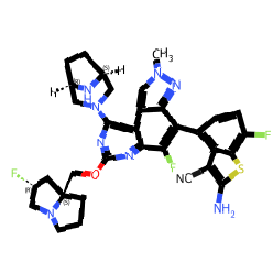 Cn1cc2c(n1)c(-c1ccc(F)c3sc(N)c(C#N)c13)c(F)c1nc(OC[C@@]34CCCN3C[C@H](F)C4)nc(N3C[C@H]4CC[C@@H](C3)N4)c12